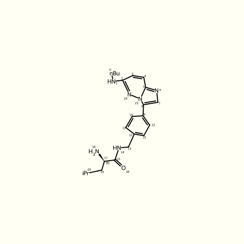 CCCCNc1ccc2ncc(-c3ccc(CNC(=O)[C@H](N)CC(C)C)cc3)n2n1